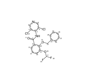 O=C(Nc1c(Cl)cncc1Cl)c1cccc(OC(F)F)c1OCc1ccccc1